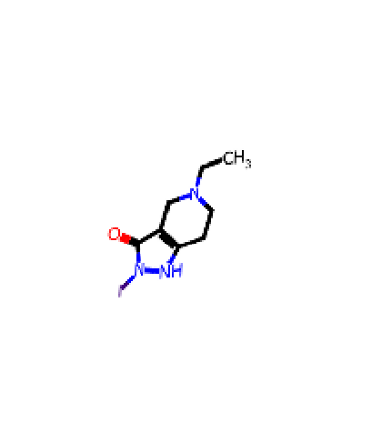 CCN1CCc2[nH]n(I)c(=O)c2C1